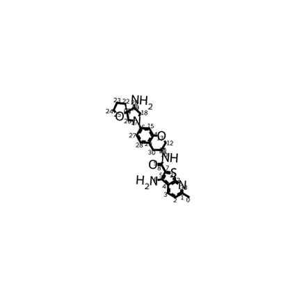 Cc1ccc2c(N)c(C(=O)N[C@H]3COc4cc(N5C[C@H](N)[C@]6(CCCO6)C5)ccc4C3)sc2n1